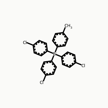 Cc1ccc([B-](c2ccc(Cl)cc2)(c2ccc(Cl)cc2)c2ccc(Cl)cc2)cc1